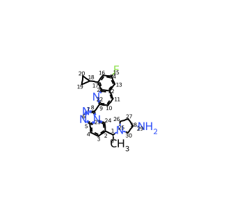 C[C@@H](c1ccc2nnc(-c3ccc4cc(F)cc(C5CC5)c4n3)n2c1)N1CC[C@H](N)C1